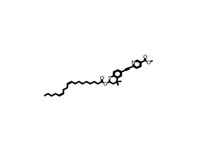 CCCC/C=C\CC/C=C\CCCCCCCC(=O)OC1CC(C)(C)c2cc(C#Cc3ccc(C(=O)OC)cn3)ccc2S1